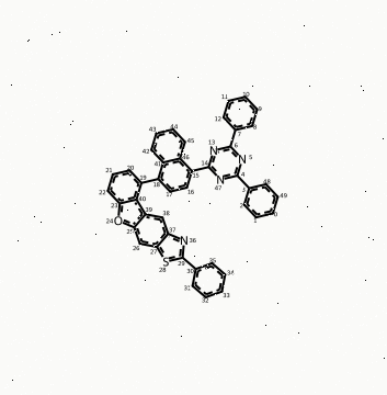 c1ccc(-c2nc(-c3ccccc3)nc(-c3ccc(-c4cccc5oc6cc7sc(-c8ccccc8)nc7cc6c45)c4ccccc34)n2)cc1